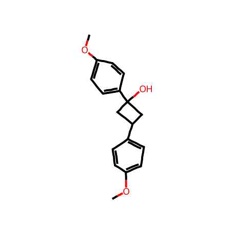 COc1ccc(C2CC(O)(c3ccc(OC)cc3)C2)cc1